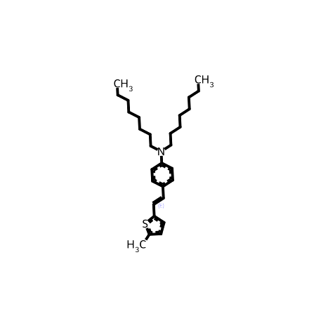 CCCCCCCCN(CCCCCCCC)c1ccc(/C=C/c2ccc(C)s2)cc1